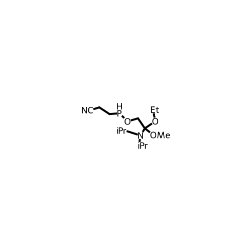 CCOC(COPCCC#N)(OC)N(C(C)C)C(C)C